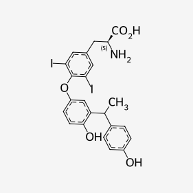 CC(c1ccc(O)cc1)c1cc(Oc2c(I)cc(C[C@H](N)C(=O)O)cc2I)ccc1O